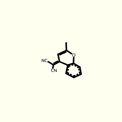 CC1=CC(=C(C#N)C#N)c2ccccc2O1